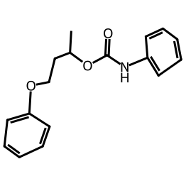 CC(CCOc1ccccc1)OC(=O)Nc1ccccc1